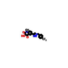 CN1C(=O)C(O)C(=O)c2cc(-c3cn(Cc4ccc(C(F)(F)F)cc4)nn3)ccc21